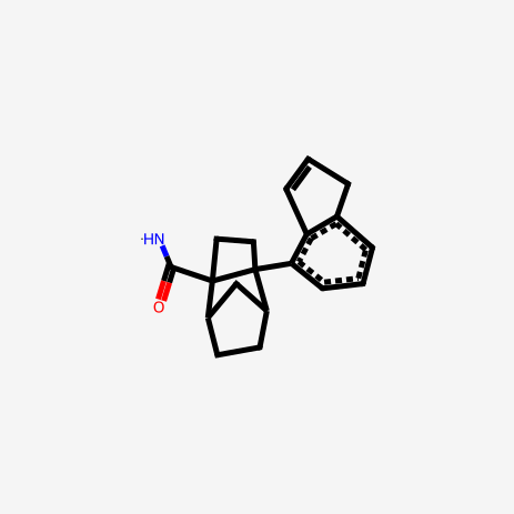 [NH]C(=O)C12CCC1(c1cccc3c1C=CC3)C1CCC2C1